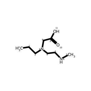 CCCN(CCNC)CC(=O)O